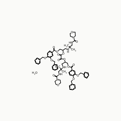 CC(C)(CNC(=O)N1CCOCC1)NCC(COC(=O)c1ccc(OCc2ccccc2)c(OCc2ccccc2)c1)OC(=O)C(=O)OC(CNC(C)(C)CNC(=O)N1CCOCC1)COC(=O)c1ccc(OCc2ccccc2)c(OCc2ccccc2)c1.O